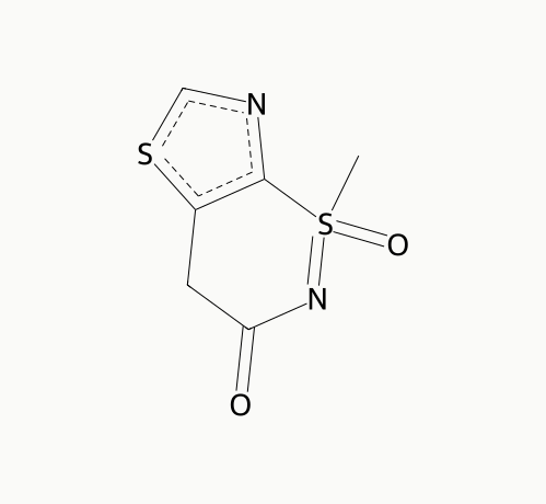 CS1(=O)=NC(=O)Cc2scnc21